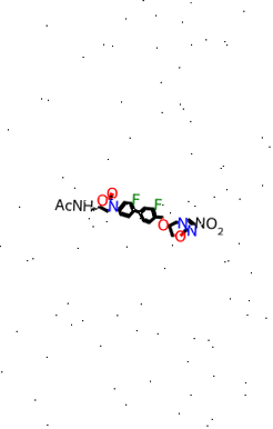 CC(=O)NC[C@H]1CN(c2ccc(-c3ccc(CO[C@@H]4COc5nc([N+](=O)[O-])cn5C4)c(F)c3)c(F)c2)C(=O)O1